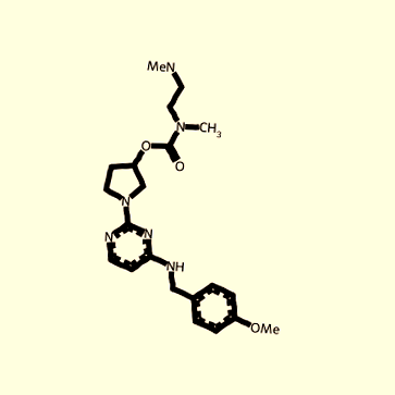 CNCCN(C)C(=O)OC1CCN(c2nccc(NCc3ccc(OC)cc3)n2)C1